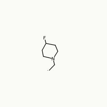 [CH2]CN1CCC(F)CC1